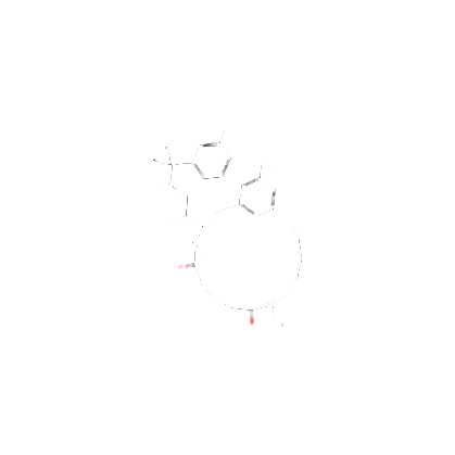 CCCN1CCCCOc2cc(F)cc(c2)CC(C(O)CNC2(c3cccc(CC)c3)CC2)NC(=O)CCCC1=O